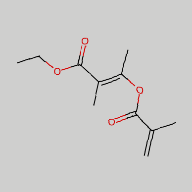 C=C(C)C(=O)OC(C)=C(C)C(=O)OCC